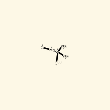 CCC[CH2][Sn]([CH2]CCC)([CH2]CCC)[Mg][Cl]